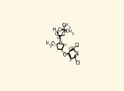 C[C@H]1C[C@@H](Oc2cc(Cl)nc(Cl)c2)CN1C(=O)OC(C)(C)C